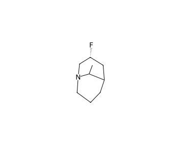 CC1C2CCCN1C[C@H](F)C2